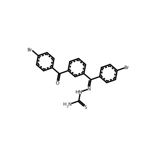 NC(=S)NN=C(c1ccc(Br)cc1)c1cccc(C(=O)c2ccc(Br)cc2)c1